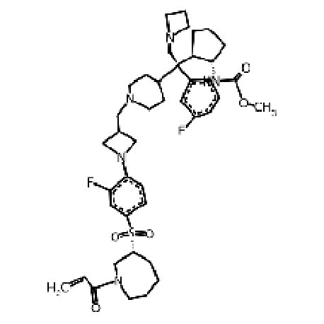 C=CC(=O)N1CCCC[C@@H](S(=O)(=O)c2ccc(N3CC(CN4CCC([C@@](CN5CCC5)(c5cccc(F)c5)[C@H]5CCC[C@@H]5NC(=O)OC)CC4)C3)c(F)c2)C1